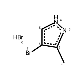 Br.Cc1n[nH]cc1Br